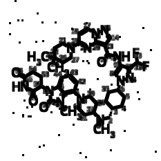 CN(C[C@H]1CC[C@H](n2cc(NC(=O)c3cnn4ccc(N5CCC(C)(C)CC5)nc34)c(C(F)F)n2)CC1)C1CCN(c2cccc3c2n(C)c(=O)n3C2CCC(=O)NC2=O)CC1